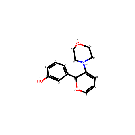 Oc1cccc(C2OC=CC=C2N2CCOCC2)c1